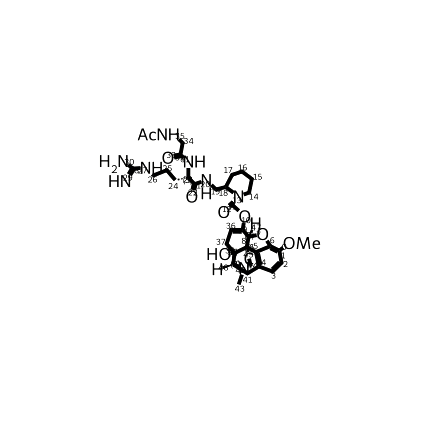 COc1ccc2c3c1O[C@H]1C(OC(=O)N4CCCCC4CNC(=O)[C@H](CCCNC(=N)N)NC(=O)CNC(C)=O)=CC[C@@]4(O)[C@@H](C2)N(C)CC[C@]314